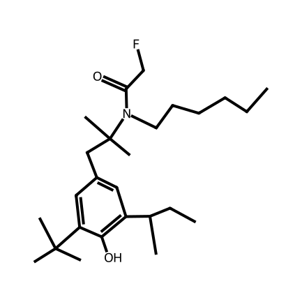 CCCCCCN(C(=O)CF)C(C)(C)Cc1cc(C(C)CC)c(O)c(C(C)(C)C)c1